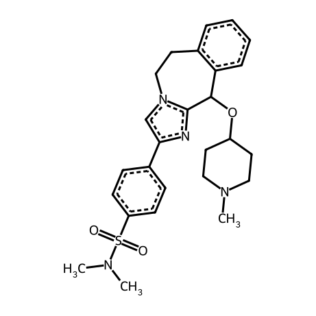 CN1CCC(OC2c3ccccc3CCn3cc(-c4ccc(S(=O)(=O)N(C)C)cc4)nc32)CC1